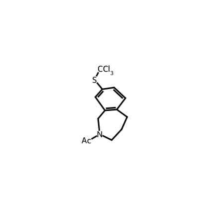 CC(=O)N1CCCc2ccc(SC(Cl)(Cl)Cl)cc2C1